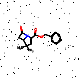 CC1(C)C=C(C(=O)OCc2ccccc2)N2C(=O)CC21